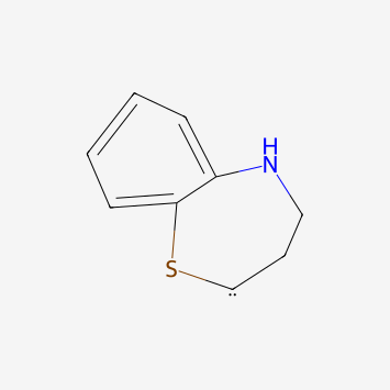 [C]1CCNc2ccccc2S1